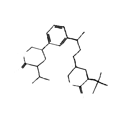 CC(CCC1COC(=O)C(C(C)(C)C)C1)c1cccc(C2COC(=O)C(C(C)C)C2)c1